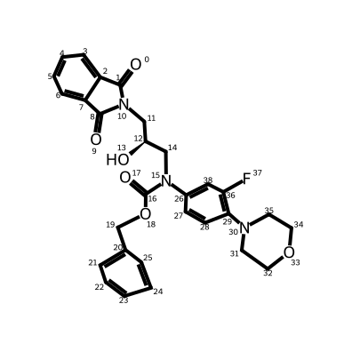 O=C1c2ccccc2C(=O)N1C[C@H](O)CN(C(=O)OCc1ccccc1)c1ccc(N2CCOCC2)c(F)c1